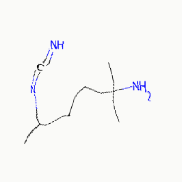 CC(CCC(C)(C)N)N=C=N